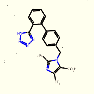 CCCc1nc(C(F)(F)F)c(C(=O)O)n1Cc1ccc(-c2ccccc2-c2nnn[nH]2)cc1